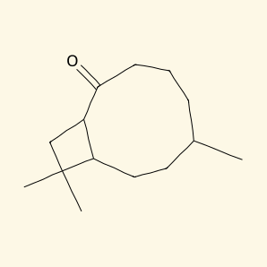 CC1CCCC(=O)C2CC(C)(C)C2CC1